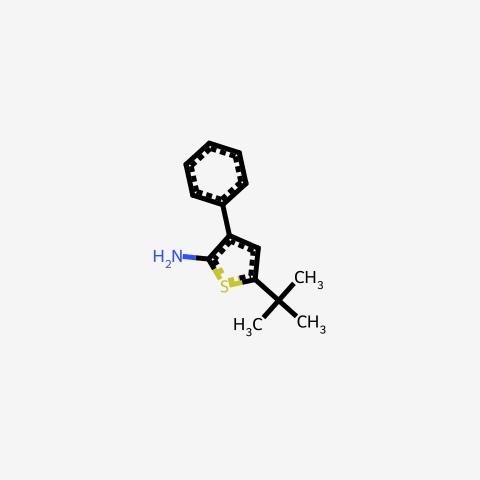 CC(C)(C)c1cc(-c2ccccc2)c(N)s1